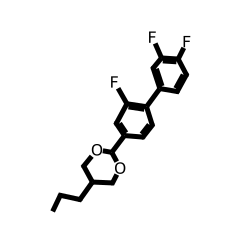 CCCC1COC(c2ccc(-c3ccc(F)c(F)c3)c(F)c2)OC1